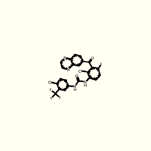 O=C(Nc1ccc(Cl)c(C(F)(F)F)c1)Nc1ccc(F)c(C(=O)c2ccc3nccnc3c2)c1Cl